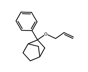 C=CCOC1(c2ccccc2)CC2CCC1C2